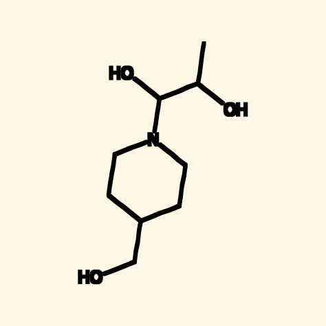 CC(O)C(O)N1CCC(CO)CC1